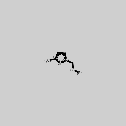 CCOCn1ccc(C(F)(F)F)n1